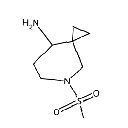 CS(=O)(=O)N1CCC(N)C2(CC2)C1